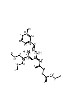 C=C(CCC(=C)OCC)/N=C(\C=C(/N)N(CCC)CCC)N/N=C/c1cccc(C)c1